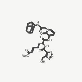 COC(=O)/C=C/CC[C@H](NC(=O)c1snnc1CO)C(=O)Nc1cccn(CC(=O)NC2C3CC4CC(C3)CC2C4)c1=O